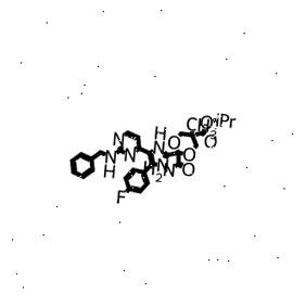 CC(C)OC(=O)C1(C)COC(C(N)=O)(c2nc(-c3ccc(F)cc3)c(-c3ccnc(NCc4ccccc4)n3)[nH]2)OC1